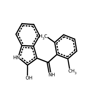 Cc1cccc(C)c1C(=N)c1c(O)[nH]c2ccccc12